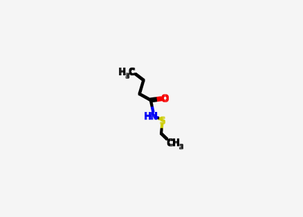 CCCC(=O)NSCC